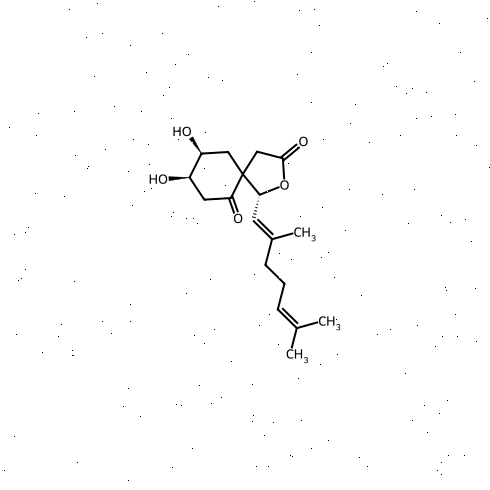 CC(C)=CCC/C(C)=C/[C@H]1OC(=O)CC12C[C@H](O)[C@H](O)CC2=O